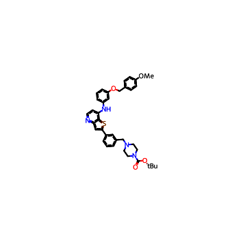 COc1ccc(COc2cccc(Nc3ccnc4cc(-c5cccc(CN6CCN(C(=O)OC(C)(C)C)CC6)c5)sc34)c2)cc1